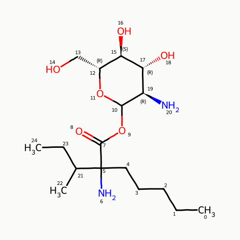 CCCCCC(N)(C(=O)OC1O[C@H](CO)[C@@H](O)[C@H](O)[C@H]1N)C(C)CC